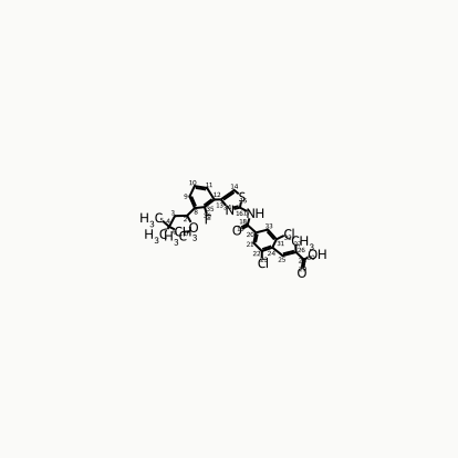 COC(CC(C)(C)C)c1cccc(-c2csc(NC(=O)c3cc(Cl)c(C=C(C)C(=O)O)c(Cl)c3)n2)c1F